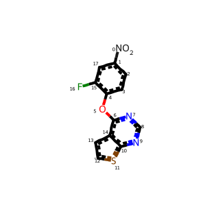 O=[N+]([O-])c1ccc(Oc2ncnc3s[c]cc23)c(F)c1